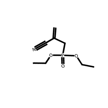 C=C(C#N)CP(=O)(OCC)OCC